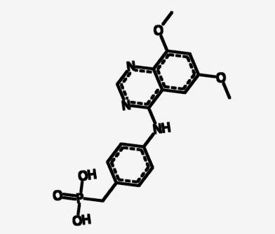 COc1cc(OC)c2ncnc(Nc3ccc(CP(=O)(O)O)cc3)c2c1